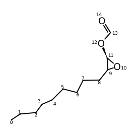 CCCCCCCCCC1O[C@@H]1OC=O